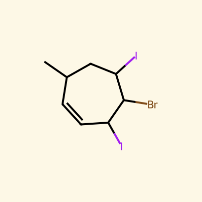 CC1C=CC(I)C(Br)C(I)C1